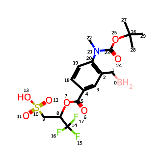 BCc1cc(C(=O)OC(CS(=O)(=O)O)C(F)(F)F)ccc1N(C)C(=O)OC(C)(C)C